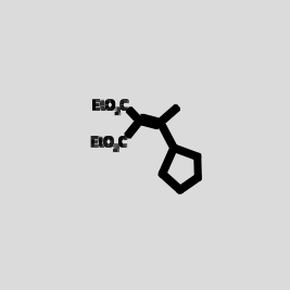 CCOC(=O)C(C(=O)OCC)=C(C)C1CCCC1